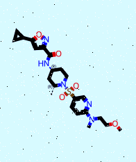 COCCN(C)c1ccc(S(=O)(=O)N2CC[C@@H](NC(=O)c3cc(C4CC4)on3)C[C@H]2C)cn1